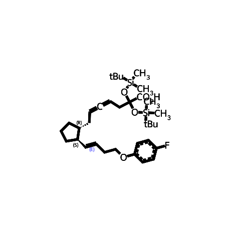 CC(C)(C)[Si](C)(C)OC(CC=C=CC[C@H]1CCC[C@@H]1/C=C/CCOc1ccc(F)cc1)(O[Si](C)(C)C(C)(C)C)C(=O)O